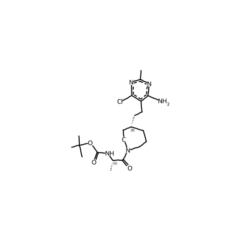 Cc1nc(N)c(CC[C@@H]2CCCN(C(=O)[C@H](C)NC(=O)OC(C)(C)C)CC2)c(Cl)n1